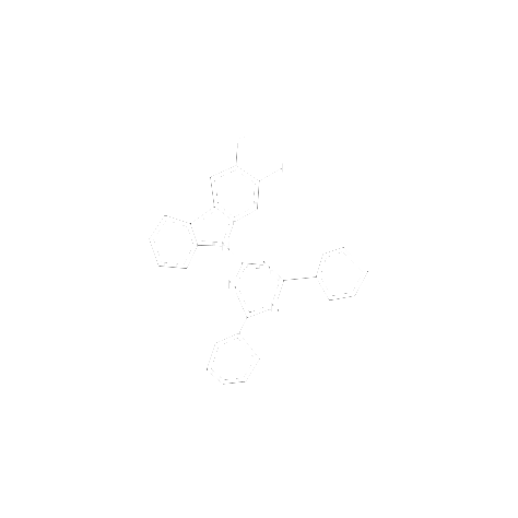 Brc1cc2c3ccccc3n(-c3nc(-c4ccccc4)nc(-c4ccccc4)n3)c2cc1I